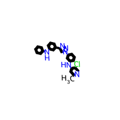 Cc1cc(Nc2cccc(-n3cc(-c4cccc(Nc5ccccc5)c4)nn3)c2)c(Cl)cn1